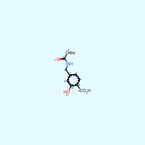 COC(=O)NCc1ccc(C(=O)O)c(O)c1